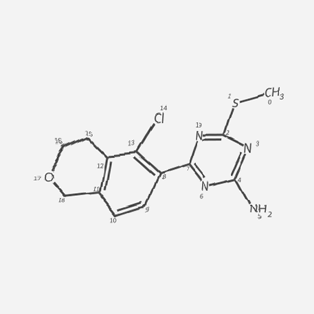 CSc1nc(N)nc(-c2ccc3c(c2Cl)CCOC3)n1